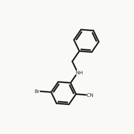 N#Cc1ccc(Br)cc1NCc1ccccc1